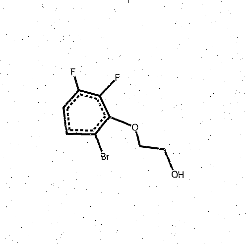 OCCOc1c(Br)ccc(F)c1F